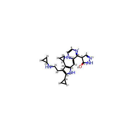 O=C1NN=CC1C1=NC=CNC1=Cc1[nH]c(C2CC2)c(CCNC2CC2)c1C1CC1